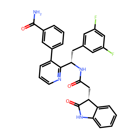 NC(=O)c1cccc(-c2cccnc2[C@H](Cc2cc(F)cc(F)c2)NC(=O)C[C@H]2C(=O)Nc3ccccc32)c1